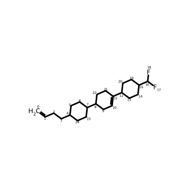 C=CCCC1CCC(C2CC=C(C3CCC(C(F)F)CC3)CC2)CC1